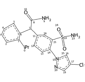 CC(C)c1ccccc1C(C(N)=O)c1ccc(-n2cc(Cl)cn2)c(S(N)(=O)=O)c1